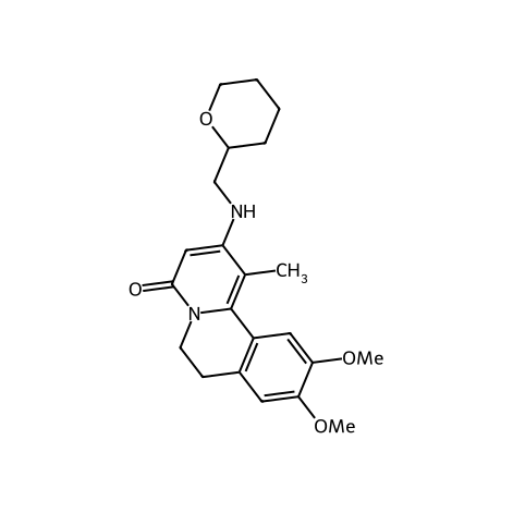 COc1cc2c(cc1OC)-c1c(C)c(NCC3CCCCO3)cc(=O)n1CC2